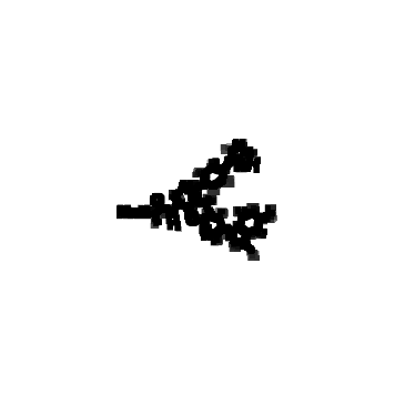 CNC(C)C(=O)Nc1cnc(-c2ccc(-c3cnn[nH]3)cc2)n(Cc2cncc(-n3cc(C)c4cc(F)ccc43)c2)c1=O